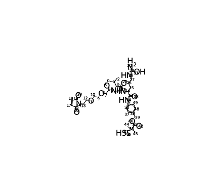 CC(C)[C@H](NC(=O)COCCOCCN1C(=O)C=CC1=O)C(=O)N[C@@H](CCCNC(N)O)C(=O)Nc1ccc(COC(=O)C(C)(C)SS)cc1